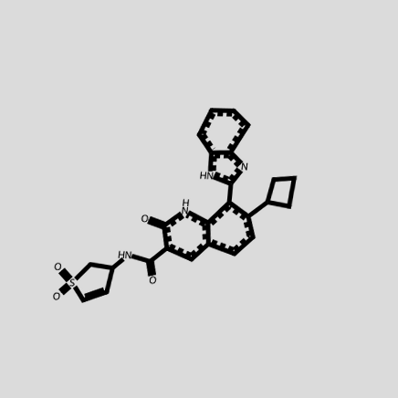 O=C(NC1C=CS(=O)(=O)C1)c1cc2ccc(C3CCC3)c(-c3nc4ccccc4[nH]3)c2[nH]c1=O